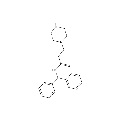 O=C(CCN1CCNCC1)NC(c1ccccc1)c1ccccc1